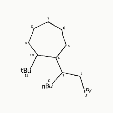 [CH2]CCCC(CC(C)C)[C]1CCCCCC1C(C)(C)C